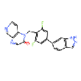 O=c1cnc2cnccc2n1Cc1c(F)cc(-c2ccc3cn[nH]c3c2)cc1F